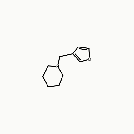 [c]1occc1CN1CCCCC1